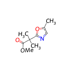 COC(=O)C(C)(C)c1ncc(C)o1